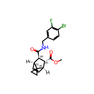 COC(=O)[C@H]1[C@H](C(=O)NCc2ccc(Br)c(F)c2)[C@@H]2C=C[C@H]1C21CC1